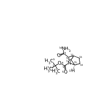 CC(C)(C)OC(=O)N1C(C(N)=O)C2CC[C@@H]1C2